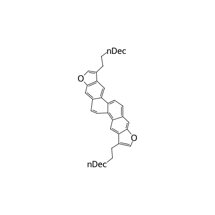 CCCCCCCCCCCCc1coc2cc3ccc4c5cc6c(CCCCCCCCCCCC)coc6cc5ccc4c3cc12